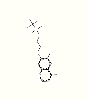 CC(C)(C)[Si](C)(C)OCCOc1cc2nccc(Cl)c2cc1Br